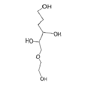 OCCCC(O)C(O)COCCO